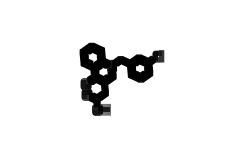 O=C(O)Cc1cn(Cc2cccc(Cl)c2)c2ccccc2c1=O